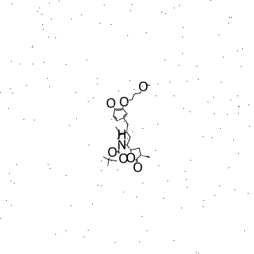 COCCCOc1cc(C[C@@H](CC(NC(=O)OC(C)(C)C)C2C[C@@H](C)C(=O)O2)C(C)C)ccc1OC